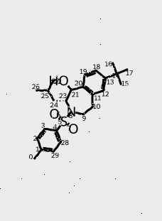 Cc1ccc(S(=O)(=O)N2CCc3cc(C(C)(C)C)ccc3C(O)[C@H]2CC(C)C)cc1